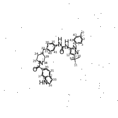 Cc1ccc(-n2nc(C(C)(C)C)cc2NC(=O)Nc2ccc(CC3CCN(C(=O)c4ccc5cc[nH]c5c4)CC3)cc2)cc1